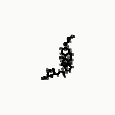 CCCC(CCC)OC(=O)CCC(C)[C@H]1CC[C@H]2[C@@H]3CC=C4C[C@@H](OCOCC)CC[C@]4(C)[C@H]3CC[C@]12C